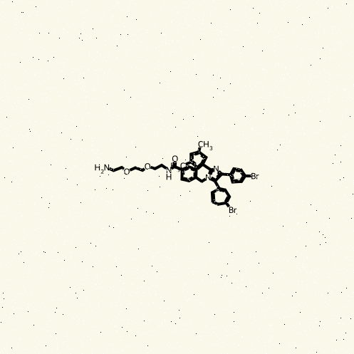 Cc1cc(C)cc(-c2nc(-c3ccc(Br)cc3)c(C3=CC=C(Br)CC=C3)n2Cc2ccc(C(=O)NCCOCCOCCN)cc2)c1